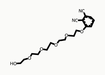 N#Cc1cccc(OCCOCCOCCOCCOCCO)c1C#N